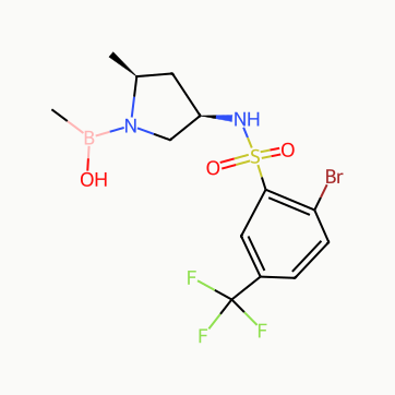 CB(O)N1C[C@H](NS(=O)(=O)c2cc(C(F)(F)F)ccc2Br)C[C@@H]1C